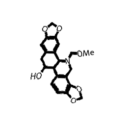 COCN1Cc2c(ccc3c2OCO3)C2C(O)Cc3cc4c(cc3C21)OCO4